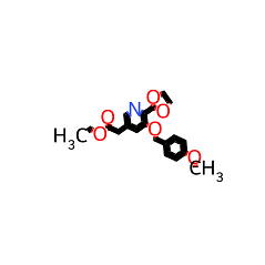 CCOC(=O)Cc1cnc(C2OCCO2)c(OCc2ccc(OC)cc2)c1